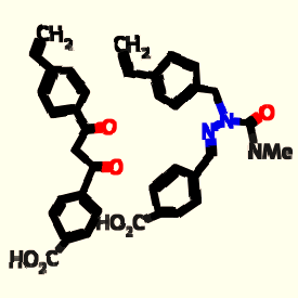 C=Cc1ccc(C(=O)CC(=O)c2ccc(C(=O)O)cc2)cc1.C=Cc1ccc(CN(N=Cc2ccc(C(=O)O)cc2)C(=O)NC)cc1